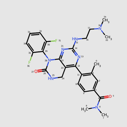 Cc1cc(C(=O)N(C)C)ccc1-c1nc(NCCN(C)C)nc2c1CNC(=O)N2c1c(F)cccc1F